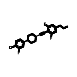 CCCc1cc(F)c(C#C[C@H]2CC[C@H](c3ccc(Cl)c(F)c3)CC2)c(F)c1